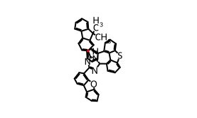 CC1(C)c2ccccc2-c2ccc(C3=NC(c4cccc5c4oc4ccccc45)=NC(c4cccc5sc6cccc(-c7ccccc7)c6c45)N3)cc21